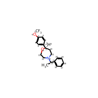 [2H][C@]1(c2ccc(OC(F)(F)F)cc2)CCN([C@H](C)c2ccccc2)CCO1